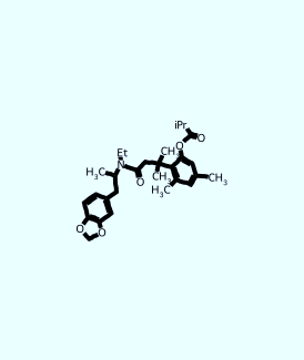 CCN(C(=O)CC(C)(C)c1c(C)cc(C)cc1OC(=O)C(C)C)C(C)Cc1ccc2c(c1)OCO2